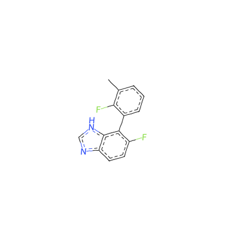 Cc1cccc(-c2c(F)ccc3nc[nH]c23)c1F